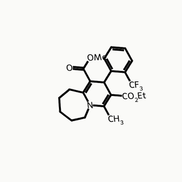 CCOC(=O)C1=C(C)N2CCCCCC2=C(C(=O)OC)C1c1ccccc1C(F)(F)F